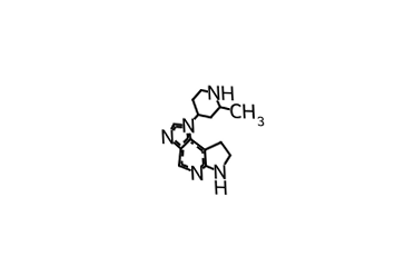 CC1CC(n2cnc3cnc4c(c32)CCN4)CCN1